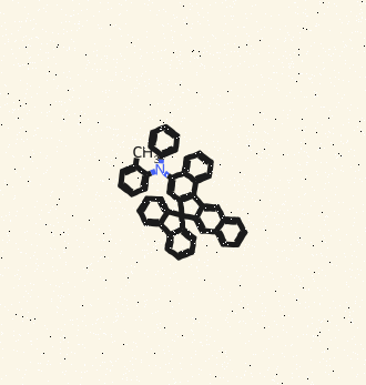 Cc1ccccc1N(c1ccccc1)c1cc2c(c3ccccc13)-c1cc3ccccc3cc1C21c2ccccc2-c2ccccc21